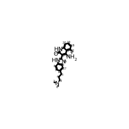 CN(C)CCCc1ccc2[nH]c(-c3c(N)c4c(F)cccc4[nH]c3=O)nc2c1